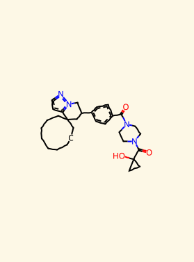 O=C(c1ccc(C2Cn3nccc3C3(CCCCCCCCC3)C2)cc1)N1CCN(C(=O)C2(O)CC2)CC1